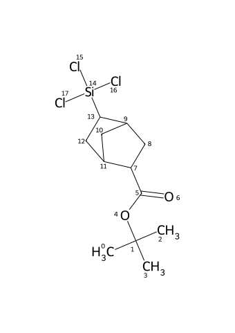 CC(C)(C)OC(=O)C1CC2CC1CC2[Si](Cl)(Cl)Cl